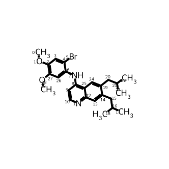 COc1cc(Br)c(Nc2ccnc3cc(CC(C)C)c(CC(C)C)cc23)cc1OC